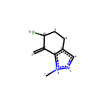 C=C1c2c(cnn2C)CCC1F